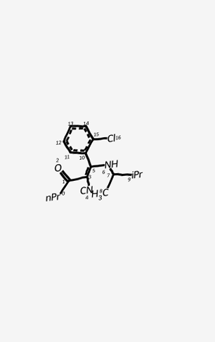 CCCC(=O)C(C#N)=C(NC(C)C(C)C)c1ccccc1Cl